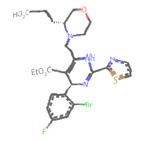 CCOC(=O)C1=C(CN2CCOC[C@H]2CCC(=O)O)NC(c2nccs2)=N[C@H]1c1ccc(F)cc1Br